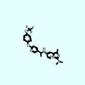 C=C/C(=C\c1[nH]c(N(C)C)nc1C)NC(C)c1ccc(Oc2ccc(OC(F)(F)F)cc2)nc1